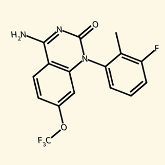 Cc1c(F)cccc1-n1c(=O)nc(N)c2ccc(OC(F)(F)F)cc21